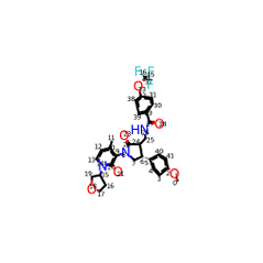 COc1ccc([C@@H]2CN(c3c(C)ccn(C4CCOC4)c3=O)C(=O)C2CNC(=O)c2ccc(OC(F)(F)F)cc2)cc1